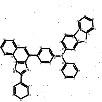 C1=CC(c2nc3c(-c4ccc(N(c5ccccc5)c5ccc6c(c5)oc5ccccc56)cc4)cc4ccccc4c3o2)=CCC1